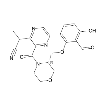 CC(C#N)c1nccnc1C(=O)N1CCOC[C@H]1COc1cccc(O)c1C=O